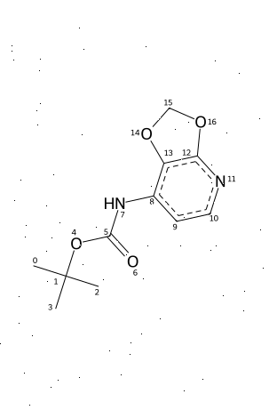 CC(C)(C)OC(=O)Nc1ccnc2c1OCO2